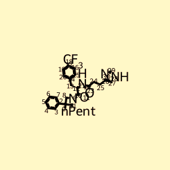 CCCCCC1(c2ccccc2)CN(C(=O)[C@@H](Cc2ccc(C(F)(F)F)cc2)NC(=O)CCc2c[nH]cn2)C1